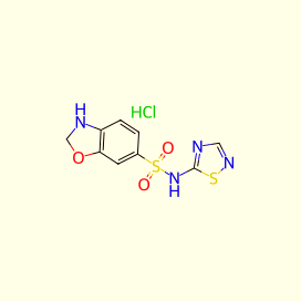 Cl.O=S(=O)(Nc1ncns1)c1ccc2c(c1)OCN2